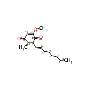 CCCCCCC=CC1=C(C)C(=O)C=C(OC)C1=O